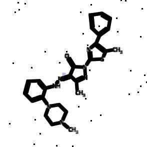 CC1=NN(c2nc(-c3ccccc3)c(C)s2)C(=O)/C1=N/Nc1ccccc1N1CCN(C)CC1